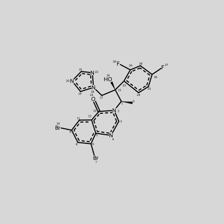 C[C@@H](n1cnc2c(Br)cc(Br)cc2c1=O)[C@](O)(Cn1cncn1)c1ccc(F)cc1F